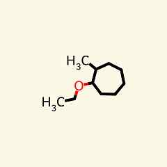 CCOC1CCCCCC1C